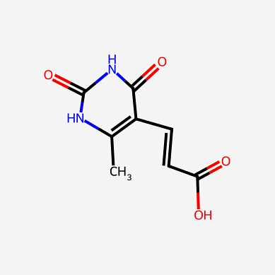 Cc1[nH]c(=O)[nH]c(=O)c1C=CC(=O)O